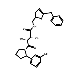 Nc1cccc(C2CCCN2C(=O)[C@H](O)[C@@H](O)C(=O)NCC2CC=C(Cc3ccccc3)S2)c1